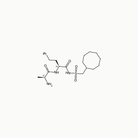 CC(C)CC[C@H](NC(=O)[C@H](C)N)C(=O)NS(=O)(=O)CC1CCCCCCC1